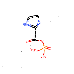 O=C(OP(=O)(O)O)c1ncc[nH]1